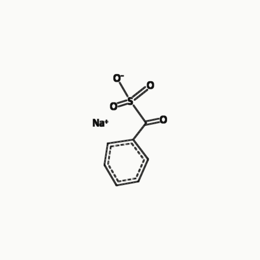 O=C(c1ccccc1)S(=O)(=O)[O-].[Na+]